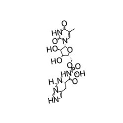 Cc1cn([C@@H]2O[C@H](COP(=O)(O)NC(=O)[C@@H](N)Cc3c[nH]cn3)[C@@H](O)[C@H]2O)c(=O)[nH]c1=O